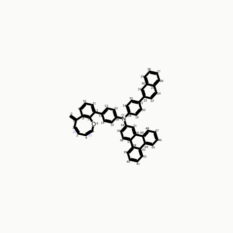 C=C1/C=C\C=C/Oc2c1cccc2-c1ccc(N(c2ccc(-c3ccc4ccccc4c3)cc2)c2ccc3c4ccccc4c4ccccc4c3c2)cc1